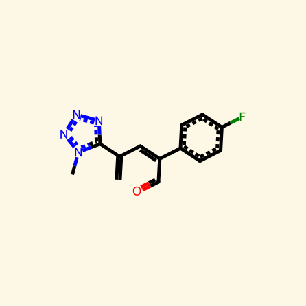 C=C(C=C(C=O)c1ccc(F)cc1)c1nnnn1C